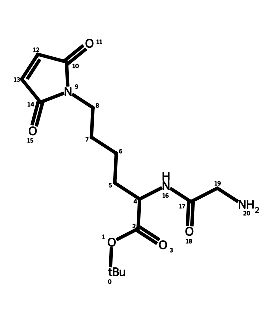 CC(C)(C)OC(=O)C(CCCCN1C(=O)C=CC1=O)NC(=O)CN